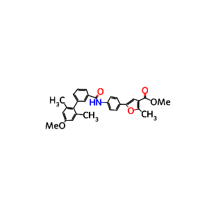 COC(=O)c1cc(-c2ccc(NC(=O)c3cccc(-c4c(C)cc(OC)cc4C)c3)cc2)oc1C